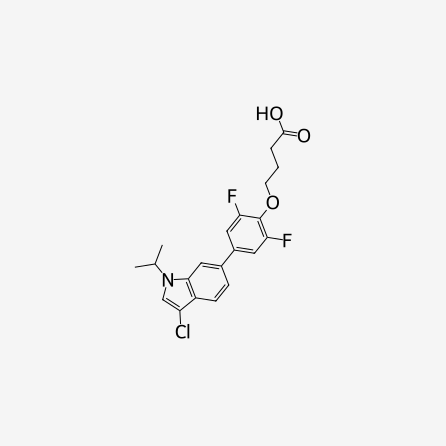 CC(C)n1cc(Cl)c2ccc(-c3cc(F)c(OCCCC(=O)O)c(F)c3)cc21